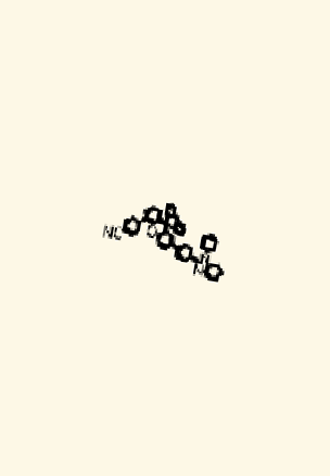 N#Cc1ccc(-c2cccc3c2Oc2ccc(-c4ccc(-c5nc6ccccc6n5-c5ccccc5)cc4)cc2C32c3ccccc3-c3ccccc32)cc1